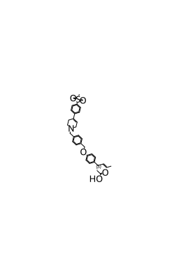 CC=C[C@H](CC(=O)O)c1ccc(OCc2ccc(CN3CC=C(c4ccc(S(C)(=O)=O)cc4)CC3)cc2)cc1